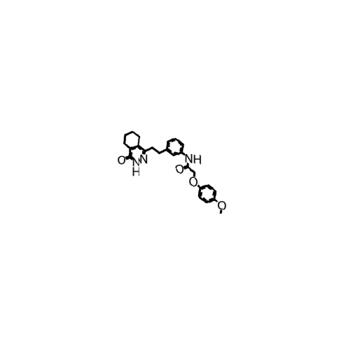 COc1ccc(OCC(=O)Nc2cccc(CCc3n[nH]c(=O)c4c3CCCC4)c2)cc1